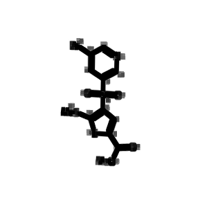 COC(=O)c1cc(S(=O)(=O)c2cncc(Br)c2)c(SC)s1